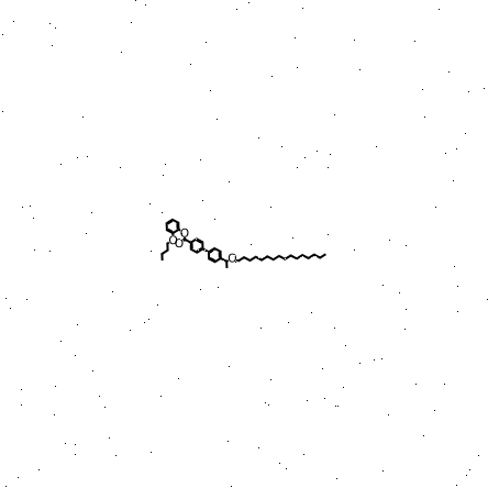 CCCCCCCCCCCCCCCCOC(C)c1ccc(-c2ccc(C(=O)Oc3ccccc3OCCCC)cc2)cc1